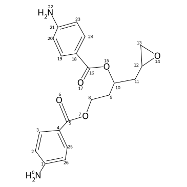 Nc1ccc(C(=O)OCCC(CC2CO2)OC(=O)c2ccc(N)cc2)cc1